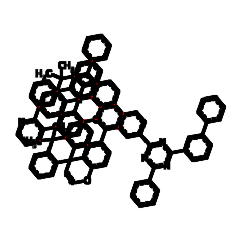 CC1(C)c2ccccc2C2(c3ccccc3Oc3ccc(-c4cccc(-c5nc(-c6ccccc6)nc(-c6cccc(-c7ncccc7-c7ccc8c(c7)C7(c9ccccc9C(C)(C)c9ccccc97)c7cccc(-c9ccc(-c%10nc(-c%11ccccc%11)nc(-c%11cccc(-c%12ccccc%12)c%11)n%10)cc9)c7O8)c6)n5)c4)cc32)c2ccccc21